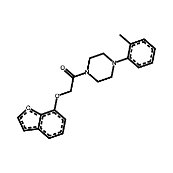 Cc1ccccc1N1CCN(C(=O)COc2cccc3ccoc23)CC1